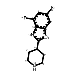 Fc1cc(Br)cc2oc(C3CCNCC3)nc12